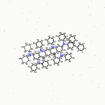 c1ccc(-c2ccc(N(c3cc4c5c(c3)N(c3ccccc3)c3cc6c(cc3B5c3ccccc3N4c3ccccc3)B3c4ccccc4N(c4ccccc4)c4cc(N(C5CCCCC5)C5CCCCC5)cc(c43)N6c3ccccc3)c3ccccc3-c3ccccc3)cc2)cc1